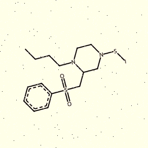 CCCCN1CCN(SI)CC1CS(=O)(=O)c1ccccc1